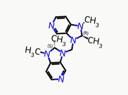 C[C@@H]1N(C)c2ccncc2N1CN1c2cnccc2N(C)[C@@H]1C